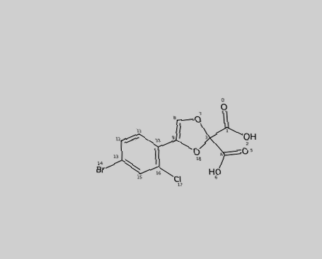 O=C(O)C1(C(=O)O)OC=C(c2ccc(Br)cc2Cl)O1